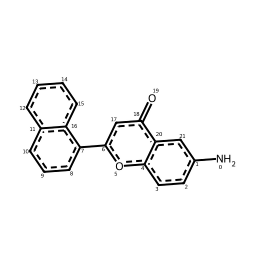 Nc1ccc2oc(-c3cccc4ccccc34)cc(=O)c2c1